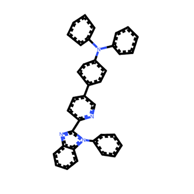 c1ccc(N(c2ccccc2)c2ccc(-c3ccc(-c4nc5ccccc5n4-c4ccccc4)nc3)cc2)cc1